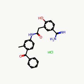 Cc1cc(NC(=O)Cc2cc(C(=N)N)ccc2O)ccc1C(=O)c1ccccc1.Cl